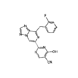 N#Cc1cnc(-c2cn3ncnc3c(Cc3ccccc3F)n2)nc1O